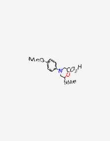 CNC(=O)CN(CC(=O)O)c1ccc(OC)cc1